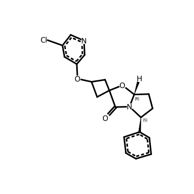 O=C1N2[C@@H](CC[C@H]2c2ccccc2)OC12CC(Oc1cncc(Cl)c1)C2